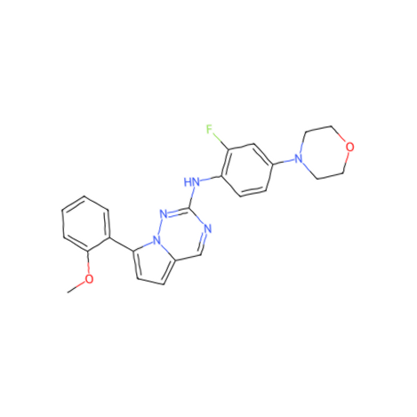 COc1ccccc1-c1ccc2cnc(Nc3ccc(N4CCOCC4)cc3F)nn12